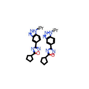 CC(C)n1nnc2cc(-c3noc(C4CCCC4)n3)ccc21.CC(C)n1nnc2cc(-c3noc(C4CCCC4)n3)ccc21